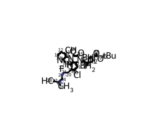 BC(B)(n1c(=O)c(=O)n(-c2c(C)ccnc2C(C)C)c2nc(C/C(F)=C\C=C(\C)C#C)c(Cl)cc21)C1(F)CN(C(=O)OC(C)(C)C)C1